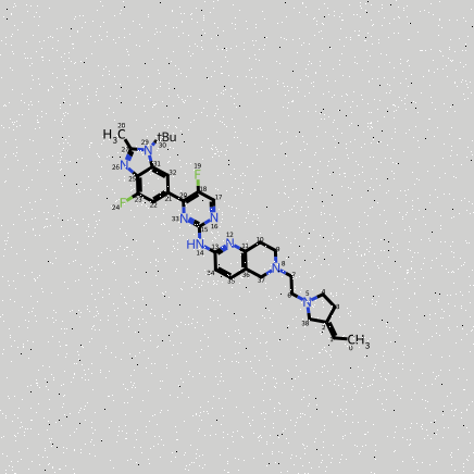 C/C=C1\CCN(CCN2CCc3nc(Nc4ncc(F)c(-c5cc(F)c6nc(C)n(C(C)(C)C)c6c5)n4)ccc3C2)C1